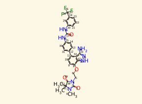 CN1C(=O)N(CCOc2ccc(-c3ccc(NC(=O)Nc4cccc(C(F)(F)F)c4)cc3)c3c(N)n[nH]c23)C(=O)C1(C)C